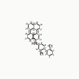 CCc1ccccc1-c1ccc(Nc2ccc(-c3cccc4cccc(-c5ccccc5)c34)cc2)cc1CC